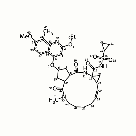 CCOc1cc(OC2CC3C(=O)NC4(C(=O)NS(=O)(=O)C5CC5)CC4/C=C\CCCCN(C)C(=O)C3C2)c2ccc(OC)c(C)c2n1